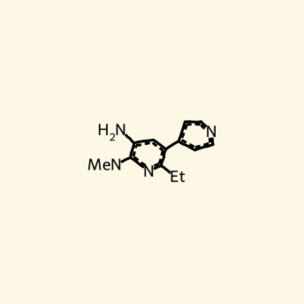 CCc1nc(NC)c(N)cc1-c1ccncc1